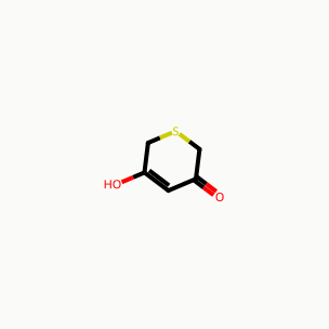 O=C1C=C(O)CSC1